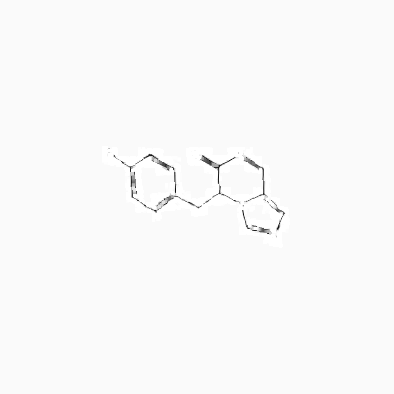 O=C1N=Cc2cncn2C1Cc1ccc(F)cc1